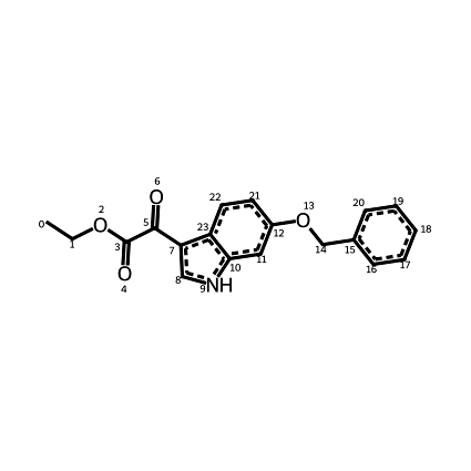 CCOC(=O)C(=O)c1c[nH]c2cc(OCc3ccccc3)ccc12